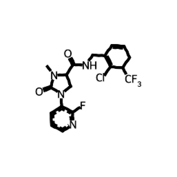 CN1C(=O)N(c2cccnc2F)CC1C(=O)NCC1=C(Cl)C(C(F)(F)F)CC=C1